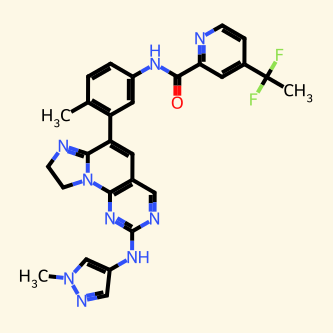 Cc1ccc(NC(=O)c2cc(C(C)(F)F)ccn2)cc1C1=Cc2cnc(Nc3cnn(C)c3)nc2N2CCN=C12